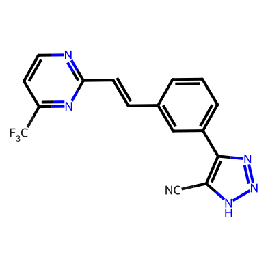 N#Cc1[nH]nnc1-c1cccc(/C=C/c2nccc(C(F)(F)F)n2)c1